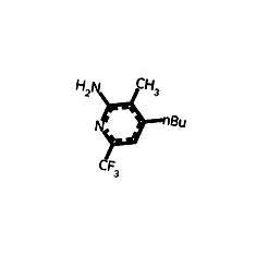 CCCCc1cc(C(F)(F)F)nc(N)c1C